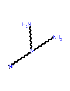 C[N+](C)(C)CCCCCCCCCCCCN(CCCCCCCCCCCCN)CCCCCCCCCCCCN